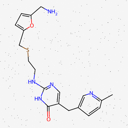 Cc1ccc(Cc2cnc(NCCSCc3ccc(CN)o3)[nH]c2=O)cn1